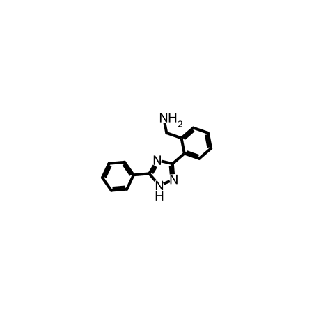 NCc1ccccc1-c1n[nH]c(-c2ccccc2)n1